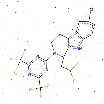 FC(F)CC1c2[nH]c3ccc(Cl)cc3c2CCN1c1nc(C(F)(F)F)nc(C(F)(F)F)n1